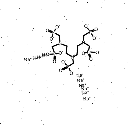 O=P([O-])([O-])CN(CCN(CP(=O)([O-])[O-])CP(=O)([O-])[O-])CCN(CP(=O)([O-])[O-])CP(=O)([O-])[O-].[Na+].[Na+].[Na+].[Na+].[Na+].[Na+].[Na+].[Na+].[Na+].[Na+]